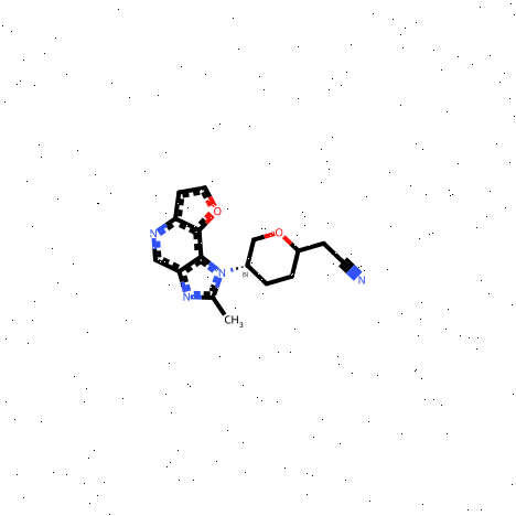 Cc1nc2cnc3ccoc3c2n1[C@H]1CCC(CC#N)OC1